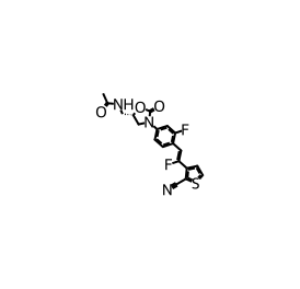 CC(=O)NC[C@H]1CN(c2ccc(/C=C(\F)c3ccsc3C#N)c(F)c2)C(=O)O1